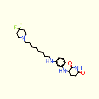 O=C1CCC(Nc2cccc(NCCCCCCCCN3CCC(F)(F)CC3)c2)C(=O)N1